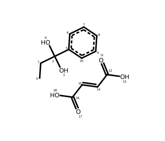 CCC(O)(O)c1ccccc1.O=C(O)/C=C/C(=O)O